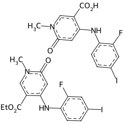 CCOC(=O)c1cn(C)c(=O)cc1Nc1ccc(I)cc1F.Cn1cc(C(=O)O)c(Nc2ccc(I)cc2F)cc1=O